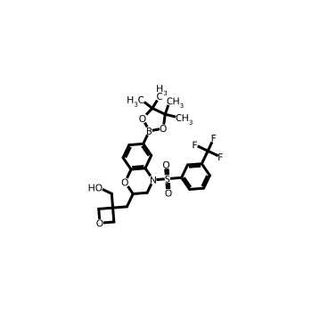 CC1(C)OB(c2ccc3c(c2)N(S(=O)(=O)c2cccc(C(F)(F)F)c2)CC(CC2(CO)COC2)O3)OC1(C)C